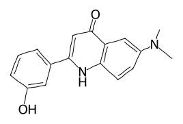 CN(C)c1ccc2[nH]c(-c3cccc(O)c3)cc(=O)c2c1